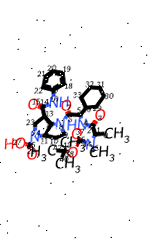 CC(C(=O)NC(C(=O)N1CCC2C1C(C(=O)Nc1ccccc1)CN2C(=O)O)C1CCCCC1)N(C)C(=O)OC(C)(C)C